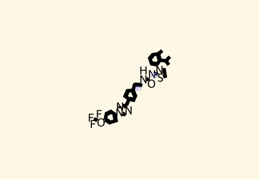 Cc1cccc(N2CCS/C2=N\C(=O)N/C=C/c2ccc(-c3ncn(-c4ccc(OC(F)(F)F)cc4)n3)cc2)c1C(C)C